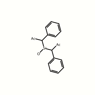 CC(=O)C(c1ccccc1)[S+]([O-])C(C(C)=O)c1ccccc1